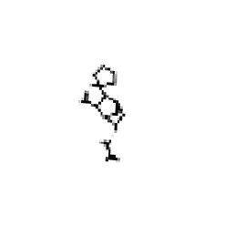 C=C(C)C(=O)OC1CC2CC1C1C(=O)OC3(CCCC3)C21